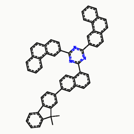 CC1(C)c2ccccc2-c2ccc(-c3ccc4c(-c5nc(-c6ccc7ccc8ccccc8c7c6)nc(-c6ccc7ccc8ccccc8c7c6)n5)cccc4c3)cc21